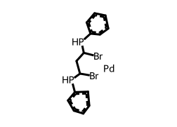 BrC(CC(Br)Pc1ccccc1)Pc1ccccc1.[Pd]